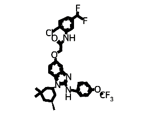 C[C@@H]1C[C@@H](n2c(Nc3ccc(OC(F)(F)F)cc3)nc3cc(OCC(=O)Nc4cc(C(F)F)ccc4Cl)ccc32)CC(C)(C)C1